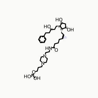 O=C(CCC/C=C\C[C@@H]1[C@@H](CC[C@@H](O)CCc2ccccc2)[C@H](O)C[C@@H]1O)NCCN1CCN(CCCON(O)O)CC1